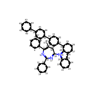 CCC1=C(c2ccccc2)N=C(c2ccccc2)N=C(n2c3ccccc3c3cccc(-c4ccc(-c5ccc(-c6ccccc6)cc5)cc4)c32)C1